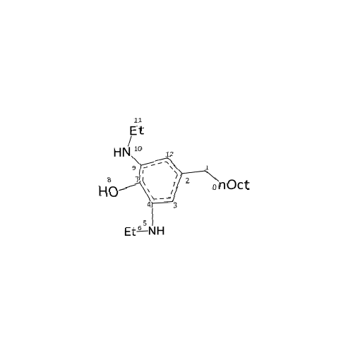 CCCCCCCCCc1cc(NCC)c(O)c(NCC)c1